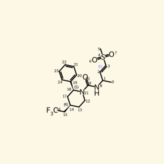 CC(/C=C/S(C)(=O)=O)NC(=O)N1CC[C@@H](CC(F)(F)F)C[C@H]1c1ccccc1